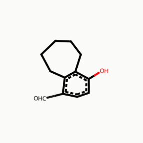 O=Cc1ccc(O)c2c1CCCCC2